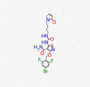 NC(=O)c1c(OCc2c(F)cc(Br)cc2F)nsc1NC(=O)NCCCCN1CC=CC1=O